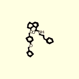 O=C(NCCCc1ccccc1)c1cccc2cccc(OCc3ccc(OCc4ccccc4)cc3)c12